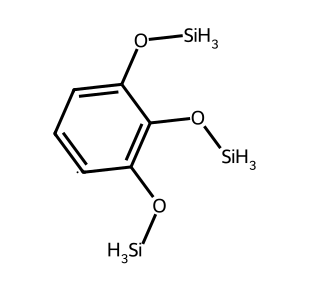 [SiH3]Oc1[c]ccc(O[SiH3])c1O[SiH3]